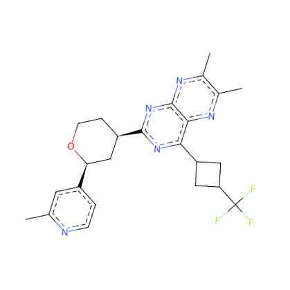 Cc1cc([C@@H]2C[C@H](c3nc(C4CC(C(F)(F)F)C4)c4nc(C)c(C)nc4n3)CCO2)ccn1